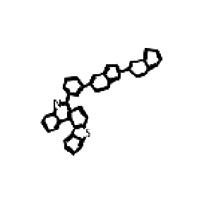 c1cc(-c2ccc3cc(-c4ccc5ccccc5c4)ccc3c2)cc(-c2nc3ccccc3c3c2ccc2sc4ccccc4c23)c1